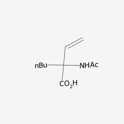 C=CC(CCCC)(NC(C)=O)C(=O)O